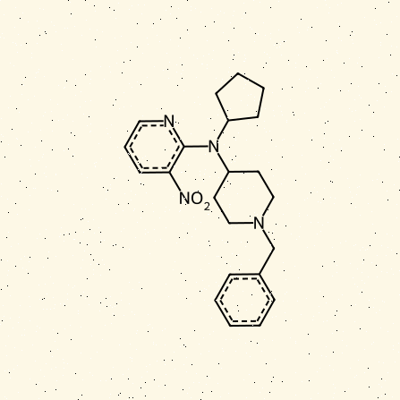 O=[N+]([O-])c1cccnc1N(C1CCCC1)C1CCN(Cc2ccccc2)CC1